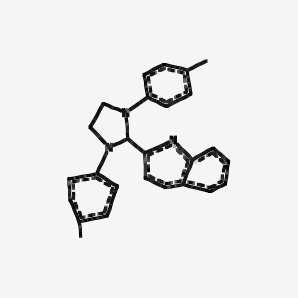 Cc1ccc(N2CCN(c3ccc(C)cc3)C2c2ccc3ccccc3n2)cc1